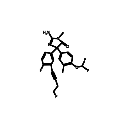 Cc1cc(C2(c3ccc(F)c(C#CCCF)c3)N=C(N)N(C)C2=O)ccc1OC(F)F